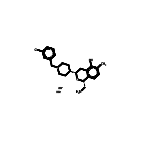 Br.Br.Cc1ccc2c(c1O)C[C@@H](C1CCN(Cc3cccc(Cl)c3)CC1)O[C@H]2CN